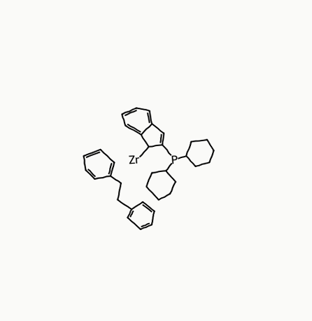 [Zr][CH]1C(P(C2CCCCC2)C2CCCCC2)=Cc2ccccc21.c1ccc(CCc2ccccc2)cc1